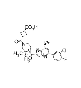 CC(C)c1cc(-c2ccc(F)c(Cl)c2)nn2cc(C(=O)N3CCN(C(=O)[C@H]4C[C@H](C(=O)O)C4)CC3(C)C)nc12